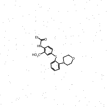 CCC(=O)Nc1ccc(Sc2ccccc2N2CCOCC2)cc1C(=O)O